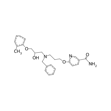 Cc1ccccc1OCC(O)CN(CCCOc1ccc(C(N)=O)cn1)Cc1ccccc1